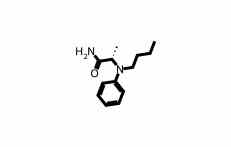 CCCCN(c1ccccc1)[C@@H](C)C(N)=O